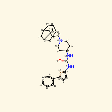 O=C(Nc1ccc(-c2ccccc2)s1)NC1CCN(CC23CC4CC(CC(C4)C2)C3)CC1